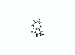 CC1=NNC=C2CCC(C)CCCC21